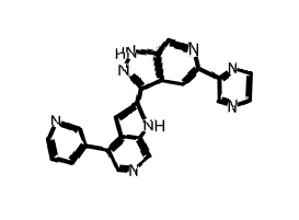 c1cncc(-c2cncc3[nH]c(-c4n[nH]c5cnc(-c6cnccn6)cc45)cc23)c1